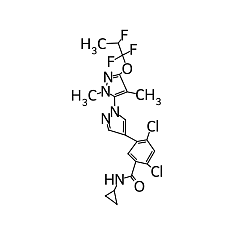 Cc1c(OC(F)(F)C(C)F)nn(C)c1-n1cc(-c2cc(C(=O)NC3CC3)c(Cl)cc2Cl)cn1